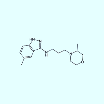 Cc1ccc2[nH]nc(NCCCN3CCOCC3C)c2c1